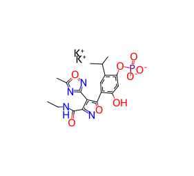 CCNC(=O)c1noc(-c2cc(C(C)C)c(OP(=O)([O-])[O-])cc2O)c1-c1noc(C)n1.[K+].[K+]